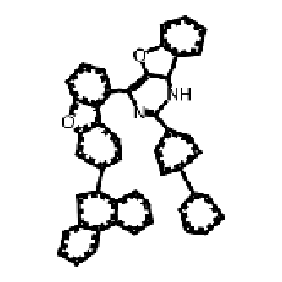 c1ccc(-c2ccc(C3=NC(c4cccc5oc6cc(-c7cc8ccccc8c8ccccc78)ccc6c45)=C4Oc5ccccc5C4N3)cc2)cc1